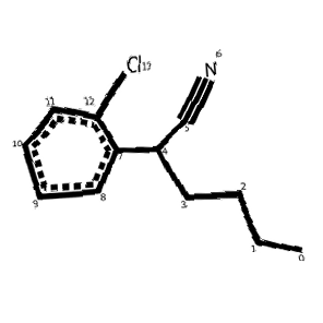 CCCCC(C#N)c1ccccc1Cl